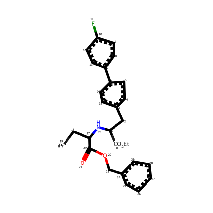 CCOC(=O)C(Cc1ccc(-c2ccc(F)cc2)cc1)NC(CC(C)C)C(=O)OCc1ccccc1